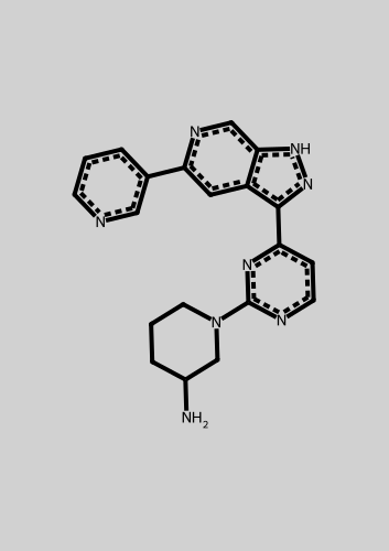 NC1CCCN(c2nccc(-c3n[nH]c4cnc(-c5cccnc5)cc34)n2)C1